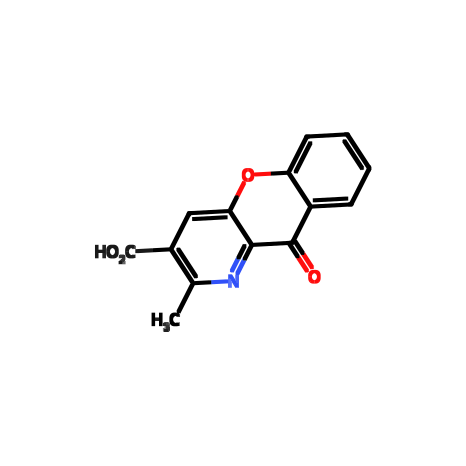 Cc1nc2c(=O)c3ccccc3oc2cc1C(=O)O